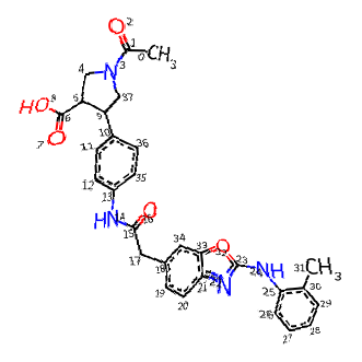 CC(=O)N1CC(C(=O)O)C(c2ccc(NC(=O)Cc3ccc4nc(Nc5ccccc5C)oc4c3)cc2)C1